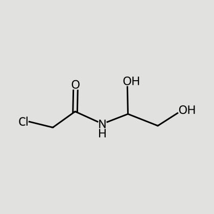 O=C(CCl)NC(O)CO